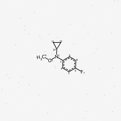 CON(c1ccc(F)cc1)C1CC1